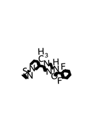 CC1=C(c2cnc(NC(=O)c3c(F)cccc3F)cn2)CN(c2nccs2)CC1